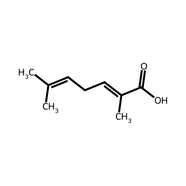 CC(C)=CC/C=C(\C)C(=O)O